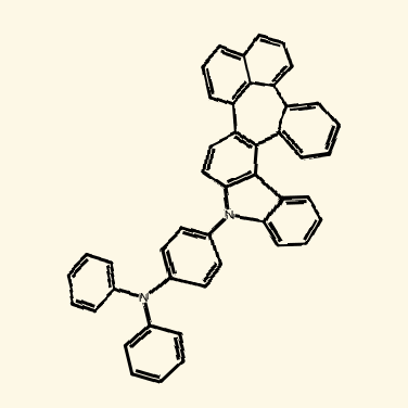 c1ccc(N(c2ccccc2)c2ccc(-n3c4ccccc4c4c5c(ccc43)-c3cccc4cccc(c34)-c3ccccc3-5)cc2)cc1